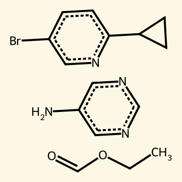 Brc1ccc(C2CC2)nc1.CCOC=O.Nc1cncnc1